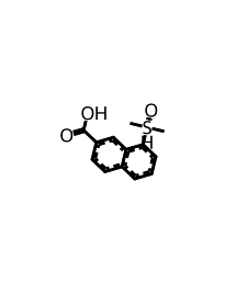 C[SH](C)(=O)c1cccc2ccc(C(=O)O)cc12